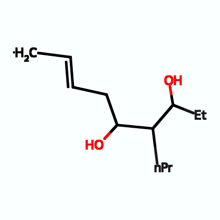 [CH2]/C=C/CC(O)C(CCC)C(O)CC